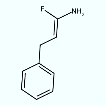 N/C(F)=C/Cc1ccccc1